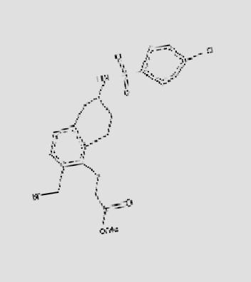 COC(=O)CCc1c(CBr)ccc2c1CCC(NS(=O)(=O)c1ccc(Cl)cc1)C2